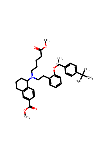 COC(=O)CCCCN(CCc1ccccc1O[C@@H](C)c1ccc(C(C)(C)C)cc1)C1CCCc2cc(C(=O)OC)ccc21